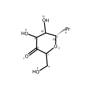 CC(C)[C@@H]1OC(CO)C(=O)C(O)C1O